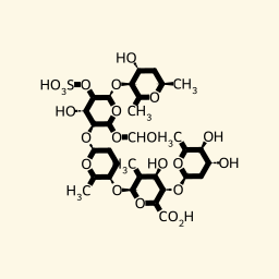 CC1O[C@H](O[C@@H]2C(OC=O)O[C@@H](O[C@@H]3C(C)O[C@H](C)C[C@H]3O)C(OS(=O)(=O)O)[C@H]2O)CC[C@@H]1O[C@@H]1OC(C(=O)O)[C@@H](O[C@@H]2C[C@@H](O)[C@H](O)C(C)O2)[C@H](O)C1C